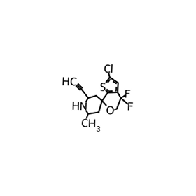 C#CC1CC2(CC(C)N1)OCC(F)(F)c1cc(Cl)sc12